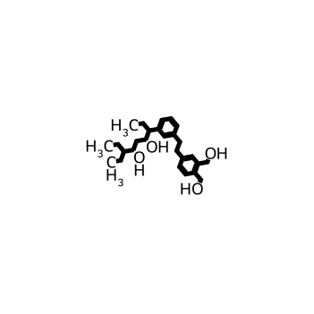 CCC(CC)C(O)CC(O)C(CC)c1cccc(CCc2ccc(CO)c(CO)c2)c1